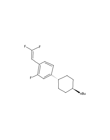 CCCC[C@H]1CC[C@H](c2ccc(C=C(F)F)c(F)c2)CC1